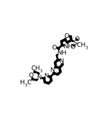 C[C@@H]1CN(c2cccc(-c3ccc4cnc(CNC(=O)c5cc6occ(S(C)(=O)=O)c6[nH]5)cc4n3)n2)C[C@H](C)O1